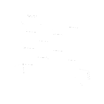 CCOC(=O)C1=C(COCc2cc[nH]c2)NC2=C(C(=O)CC(C)(C)C2)C1c1cccnc1